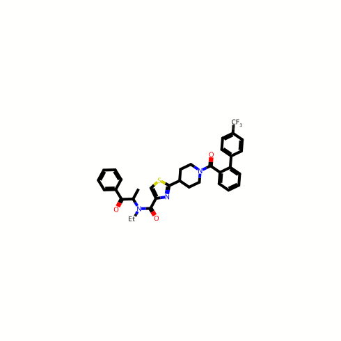 CCN(C(=O)c1csc(C2CCN(C(=O)c3ccccc3-c3ccc(C(F)(F)F)cc3)CC2)n1)C(C)C(=O)c1ccccc1